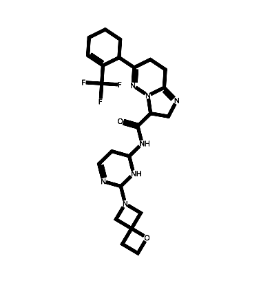 O=C(NC1CC=NC(N2CC3(CCO3)C2)N1)C1CN=C2CCC(C3CCCC=C3C(F)(F)F)=NN21